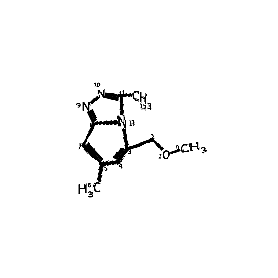 COCc1cc(C)cc2nnc(C)n12